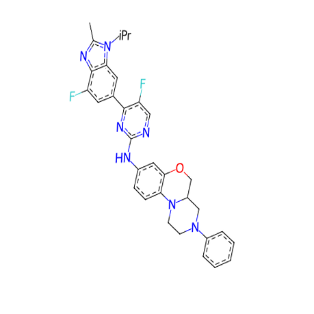 Cc1nc2c(F)cc(-c3nc(Nc4ccc5c(c4)OCC4CN(c6ccccc6)CCN54)ncc3F)cc2n1C(C)C